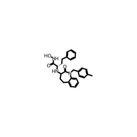 Cc1ccc(CN2C(=O)C(N[C@@H](CCc3ccccc3)C(=O)NO)CCc3ccccc32)cc1